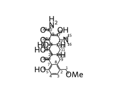 COCc1ccc(O)c2c1C[C@H]1C[C@@H]3[C@@H](N(C)C)C(O)=C(C(N)=O)C(=O)[C@@]3(O)C(O)=C1C2=O